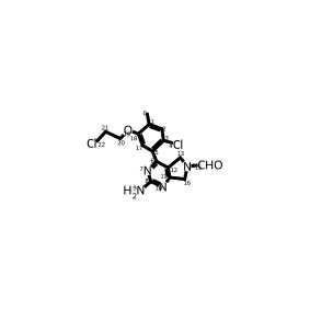 Cc1cc(Cl)c(-c2nc(N)nc3c2CN(C=O)C3)cc1OCCCl